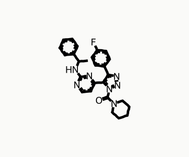 CC(Nc1nccc(-c2c(-c3ccc(F)cc3)nnn2C(=O)N2CCCCC2)n1)c1ccccc1